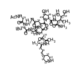 C=C(N/C(C)=C\CSC1CCNCC1)[S+]([O-])C[C@H](NC(=O)CNC(=O)[C@@H](NC(=O)CNC(C)=O)[C@@H](C)CC)C(=O)N[C@@H](CC(N)=O)C(=O)N1C[C@H](O)C[C@H]1C(=O)N[C@H](C(N)=O)[C@@H](C)[C@@H](O)CO